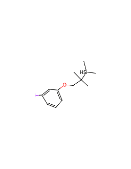 C[SiH](C)C(C)(C)COc1cccc(I)c1